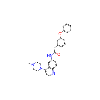 CN1CCN(c2ccnc3ccc(NC(=O)Cc4cccc(Oc5ccccc5)c4)cc23)CC1